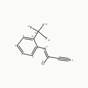 N#CC(Cl)=Nc1ccccc1C(F)(F)F